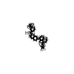 Cc1c(N2CCc3cnc(Nc4ccnc(S(C)(=O)=O)c4)nc3C2)cnc2c1N(C(=O)OC(C)(C)C)CCO2